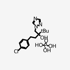 CC(C)(C)C(O)(CCc1ccc(Cl)cc1)Cn1cncn1.O=P(O)(O)O